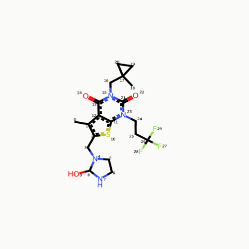 Cc1c(CN2CCNC2O)sc2c1c(=O)n(CC1(C)CC1)c(=O)n2CCC(F)(F)F